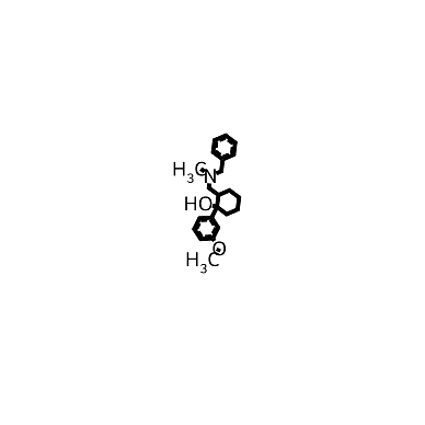 COc1cccc(C2(O)CCCCC2CN(C)Cc2ccccc2)c1